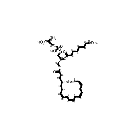 CCCCC/C=C\C/C=C\C/C=C\C/C=C\CCCCCC(=O)OC[C@H](COP(=O)(O)OC[C@H](N)C(=O)O)OC(=O)CCCCCCCCCCCCCCCC